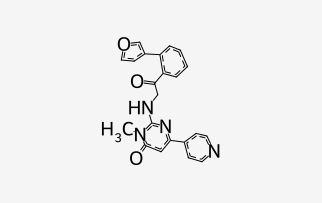 Cn1c(NCC(=O)c2ccccc2-c2ccoc2)nc(-c2ccncc2)cc1=O